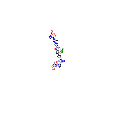 COCC(=O)N1CCCC1C(=O)N1CCN(c2ccc(NC(=O)c3ccc(-c4ccc(-c5c[nH]c([C@@H]6CC(C)(C)CN6C(=O)[C@@H](NC(=O)OC)C(C)C)n5)cc4)c(OC(F)(F)F)c3)cn2)[C@H](C)C1